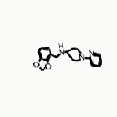 c1ccc(N2CCC(NCc3cccc4c3OCO4)CC2)nc1